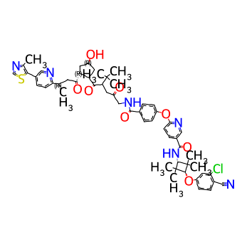 Cc1ncsc1-c1ccc([C@H](C)CC(=O)[C@@H]2C[C@@H](O)CC2C(=O)C(CC(=O)CNC(=O)c2ccc(Oc3ccc(C(=O)N[C@H]4C(C)(C)[C@H](Oc5ccc(C#N)c(Cl)c5)C4(C)C)cn3)cc2)C(C)(C)C)nc1